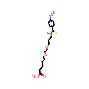 [N-]=[N+]=Nc1ccc(C(=S)NCCCOCCOCCCCCC(=O)O)cc1